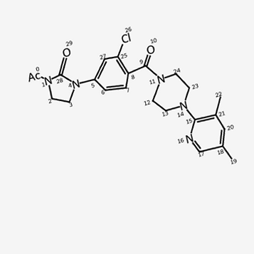 CC(=O)N1CCN(c2ccc(C(=O)N3CCN(c4ncc(C)cc4C)CC3)c(Cl)c2)C1=O